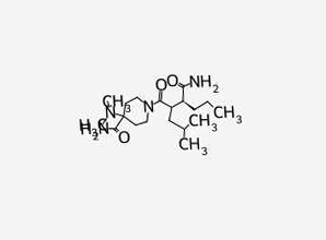 CCC[C@H](C(N)=O)C(CC(C)C)C(=O)N1CCC(C(N)=O)(N(C)C)CC1